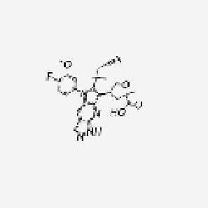 COc1cc(-n2c(C(C)(C)CC#N)c([C@H]3CO[C@](C)(C(=O)O)C3)c3nc4[nH]ncc4cc32)ccc1F